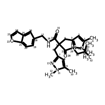 Cc1cc(CC(Cc2cc(C)n(C)n2)(C(=O)NCc2ccc3occc3c2)C(=O)NCC(C)C)nn1C